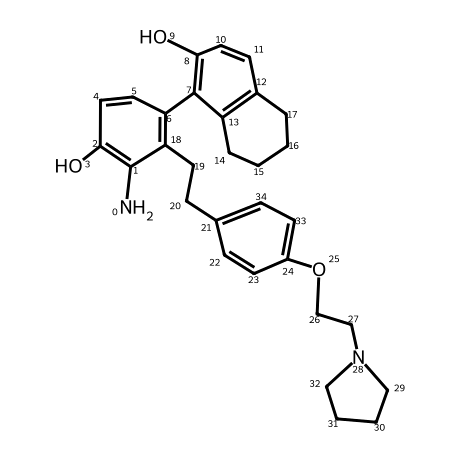 Nc1c(O)ccc(-c2c(O)ccc3c2CCCC3)c1CCc1ccc(OCCN2CCCC2)cc1